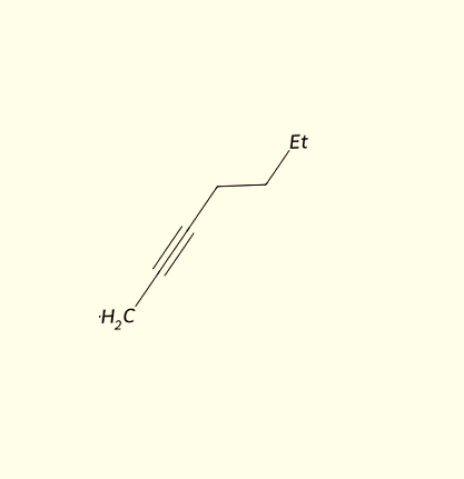 [CH2]C#CCCC[CH2]